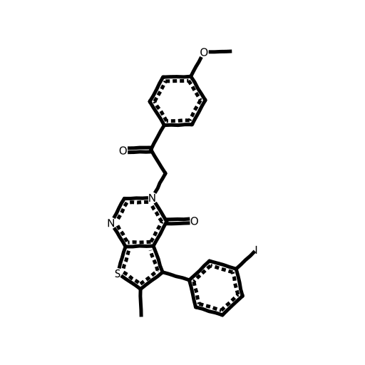 COc1ccc(C(=O)Cn2cnc3sc(C)c(-c4cccc(I)c4)c3c2=O)cc1